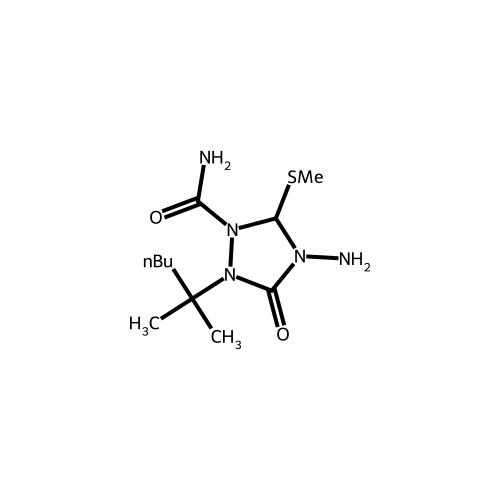 CCCCC(C)(C)N1C(=O)N(N)C(SC)N1C(N)=O